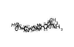 CN(Cc1cccc(-c2cnc(N3CCN(c4ccc(CCC(=O)O)cn4)CC3)nc2)c1)C(=O)CN